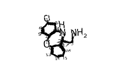 NCC1Nc2cc(Cl)ccc2Oc2ccccc21